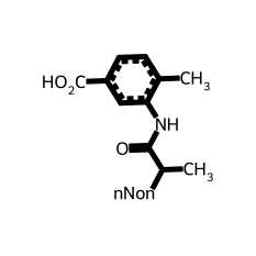 CCCCCCCCCC(C)C(=O)Nc1cc(C(=O)O)ccc1C